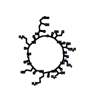 C/C=C1\NC(=O)C(C(C)O)NC(=O)C(CCCN)NC(=O)C(CCO)NC(=O)CNC(=O)C(CCN)NC(=O)C(NC(=O)CC(O)CCCCCCCCCCC)COC(=O)C(C(O)CCl)NC(=O)C(C(O)C(=O)O)NC1=O